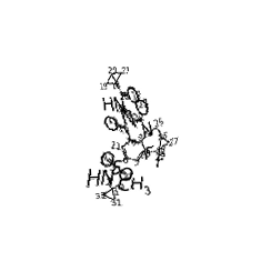 CC1(NS(=O)(=O)c2ccc3c(c2)c(=O)n(NC(=O)C24CC2C4)c(=O)n3CC2CC2(F)F)CC1